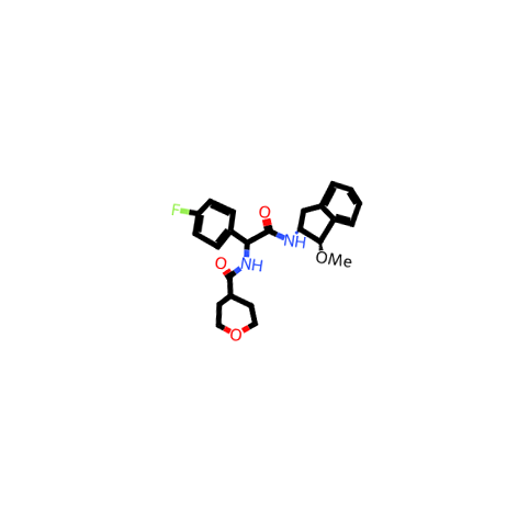 CO[C@@H]1c2ccccc2C[C@H]1NC(=O)C(NC(=O)C1CCOCC1)c1ccc(F)cc1